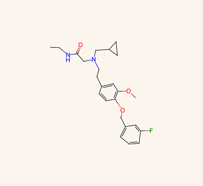 CCNC(=O)CN(CCc1ccc(OCc2cccc(F)c2)c(OC)c1)CC1CC1